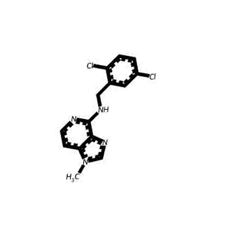 Cn1cnc2c(NCc3cc(Cl)ccc3Cl)nccc21